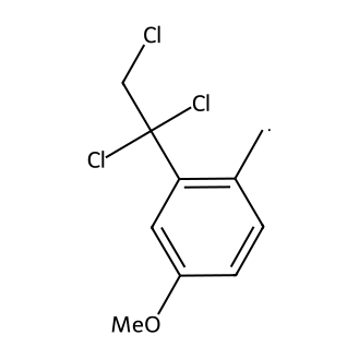 [CH2]c1ccc(OC)cc1C(Cl)(Cl)CCl